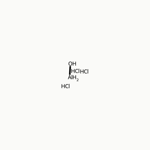 Cl.Cl.Cl.[OH][AlH2]